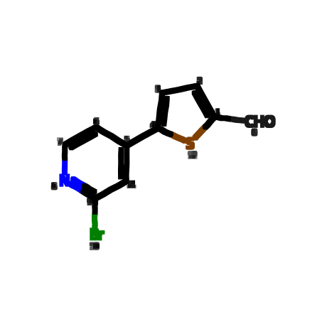 O=Cc1ccc(-c2ccnc(Br)c2)s1